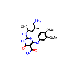 COc1ccc(Nc2nc(NC(C=O)CC(C)CN)[nH]c(=O)c2C(N)=O)cc1OC